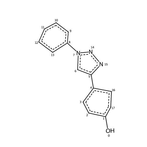 Oc1ccc(-c2cn(-c3ccccc3)nn2)cc1